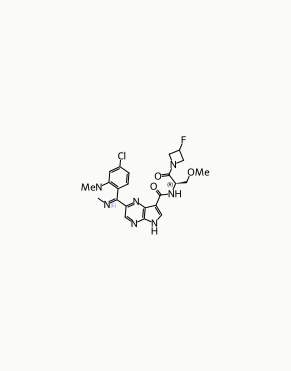 C/N=C(/c1cnc2[nH]cc(C(=O)N[C@H](COC)C(=O)N3CC(F)C3)c2n1)c1ccc(Cl)cc1NC